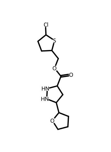 O=C(OCC1CCC(Cl)S1)C1CC(C2CCCO2)NN1